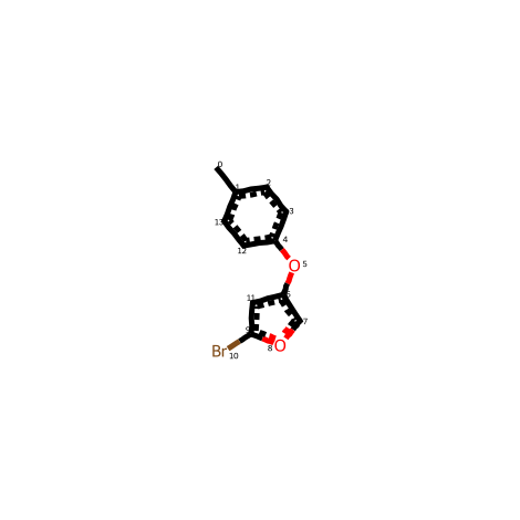 Cc1ccc(Oc2coc(Br)c2)cc1